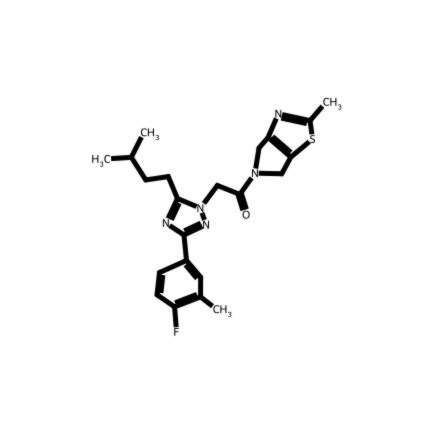 Cc1nc2c(s1)CN(C(=O)Cn1nc(-c3ccc(F)c(C)c3)nc1CCC(C)C)C2